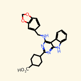 O=C(O)C1CCC(c2nc(NCc3ccc4c(c3)OCO4)c3c(n2)[nH]c2ccccc23)CC1